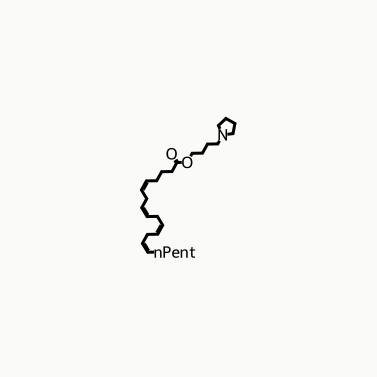 CCCCC/C=C\C/C=C\C/C=C\C/C=C\CCCC(=O)OCCCCN1CCCC1